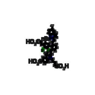 CCCC[N+]1=C(/C=C/C2=C(c3ccc(CCC(=O)O)c(F)c3F)C(=C/C=C3/N(CCCCS(=O)(=O)O)c4ccc(S(=O)(=O)O)cc4C3(C)C)/CCC2)C(C)(C)c2cc(C)ccc21